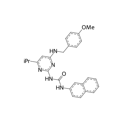 COc1ccc(CNc2cc(C(C)C)nc(NC(=O)Nc3ccc4ccccc4c3)n2)cc1